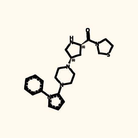 O=C([C@@H]1C[C@H](N2CCN(c3cccn3-c3ccccc3)CC2)CN1)N1CCSC1